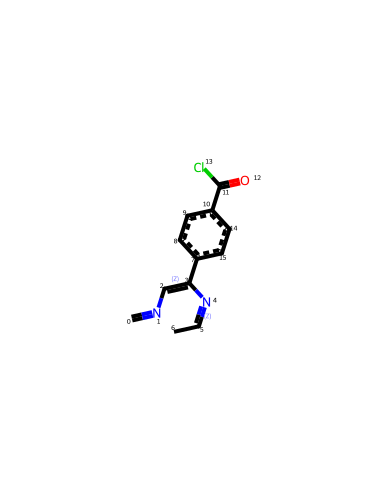 C=N/C=C(\N=C/C)c1ccc(C(=O)Cl)cc1